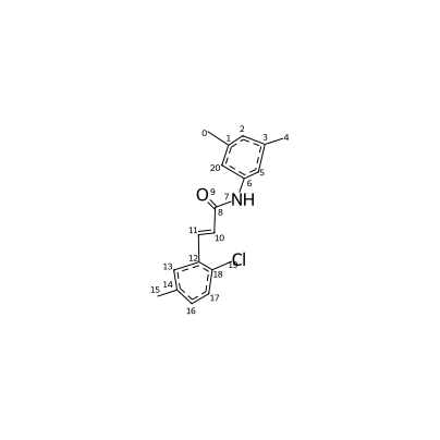 Cc1cc(C)cc(NC(=O)C=Cc2cc(C)ccc2Cl)c1